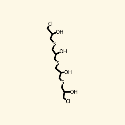 OC(CCl)CSCC(O)CSCC(O)CSCC(O)CCl